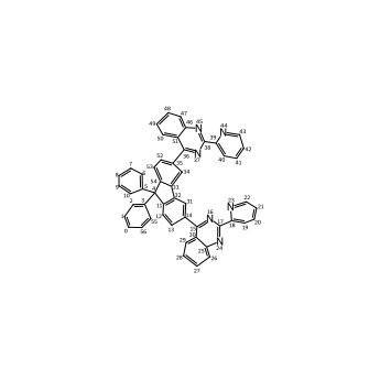 c1ccc(C2(c3ccccc3)c3ccc(-c4nc(-c5ccccn5)nc5ccccc45)cc3-c3cc(-c4nc(-c5ccccn5)nc5ccccc45)ccc32)cc1